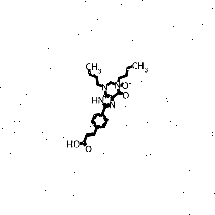 CCCCN1C[N+]([O-])(CCCC)C(=O)c2nc(-c3ccc(C=CC(=O)O)cc3)[nH]c21